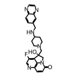 O=c1ccc2ncc(F)c3c2n1C[C@@]3(O)CN1CCC(NCc2ccc3nccnc3c2)CC1